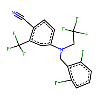 N#Cc1ccc(N(Cc2c(F)cccc2F)CC(F)(F)F)cc1C(F)(F)F